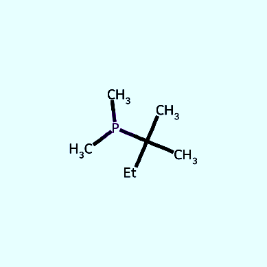 CCC(C)(C)P(C)C